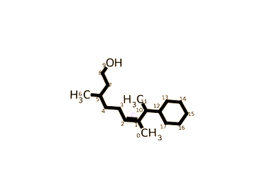 C/C(=C/CCC(C)CCO)C(C)C1CCCCC1